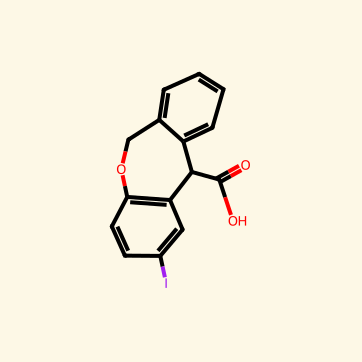 O=C(O)C1c2ccccc2COc2ccc(I)cc21